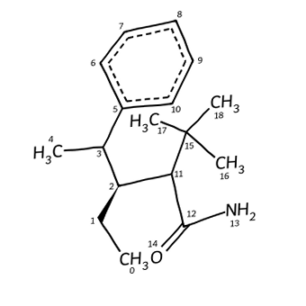 CC[C@@H](C(C)c1ccccc1)C(C(N)=O)C(C)(C)C